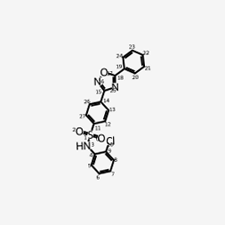 O=S(=O)(Nc1ccccc1Cl)c1ccc(-c2noc(-c3ccccc3)n2)cc1